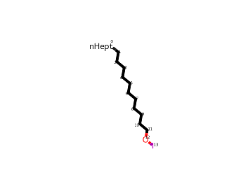 CCCCCCCCCCCCCCCCCCOI